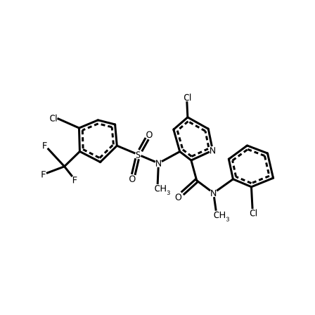 CN(C(=O)c1ncc(Cl)cc1N(C)S(=O)(=O)c1ccc(Cl)c(C(F)(F)F)c1)c1ccccc1Cl